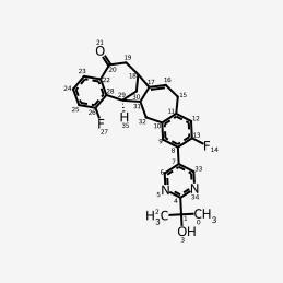 CC(C)(O)c1ncc(-c2cc3c(cc2F)CC=C2C4CC(=O)c5cccc(F)c5[C@@H](C4)C2C3)cn1